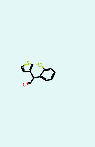 O=CC(c1ccsc1)c1ccccc1S